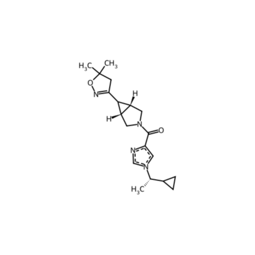 C[C@@H](C1CC1)n1cnc(C(=O)N2C[C@@H]3C(C4=NOC(C)(C)C4)[C@@H]3C2)c1